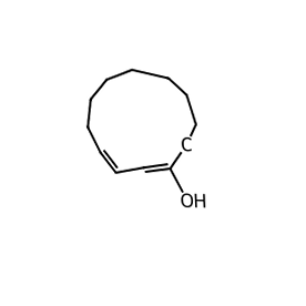 O/C1=C\C=C/CCCCCCCC1